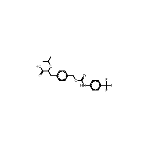 CC(C)OC(Cc1ccc(COC(=O)Nc2ccc(C(F)(F)F)cc2)cc1)C(=O)O